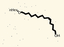 CCCCCCOCCCCCCCC/C=C\CCCCO